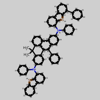 CC1(C)c2cc(N(c3ccccc3)c3cccc4c3sc3ccccc34)ccc2-c2c(-c3ccccc3)c3ccc(N(c4ccccc4)c4cccc5c4sc4c(-c6ccccc6)cccc45)cc3c3cccc1c23